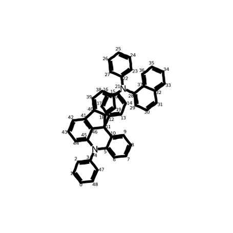 c1ccc(N2c3ccccc3C3(c4ccccc4)c4cc(N(c5ccccc5)c5cccc6ccccc56)ccc4-c4cccc2c43)cc1